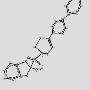 O=C(O)C1(S(=O)(=O)N2CC=C(c3ccc(-c4ccccc4)cc3)CC2)Cc2ccccc2C1